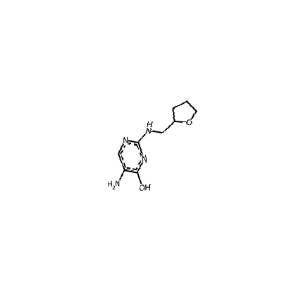 Nc1cnc(NCC2CCCO2)nc1O